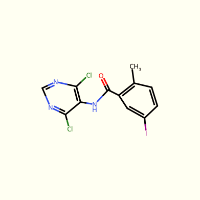 Cc1ccc(I)cc1C(=O)Nc1c(Cl)ncnc1Cl